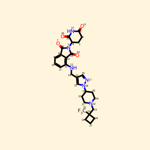 O=C1CCC(N2C(=O)c3cccc(NCc4cnn(C5CCN(CC6(C(F)(F)F)CCC6)CC5)c4)c3C2=O)C(=O)N1